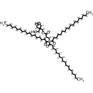 CCCCCCCCCCCCCCCCCC(=O)S(CCC(=O)OCC(CO)(CO)CO)(C(=O)CCCCCCCCCCCCCCCCC)C(=O)CCCCCCCCCCCCCCCCC